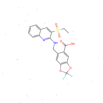 CCS(=O)(=O)c1cc2ccccc2nc1NCc1cc2c(cc1C(=O)O)OC(F)(F)O2